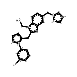 CCn1c(Cc2ccnn2-c2cccc(F)c2)nc2cc(Cn3cncn3)ccc21